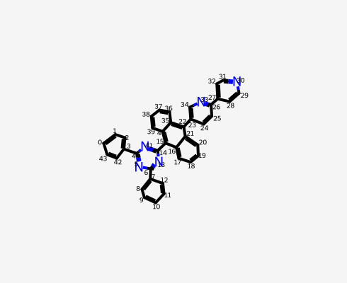 c1ccc(-c2nc(-c3ccccc3)nc(-c3c4ccccc4c(-c4ccc(-c5ccncc5)nc4)c4ccccc34)n2)cc1